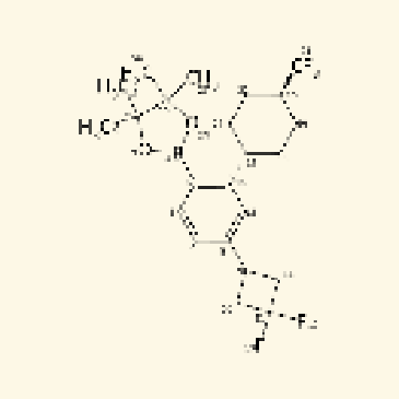 CC1(C)OB(c2ccc(C3CC(F)(F)C3)cc2[C@H]2CC[C@H](C(F)(F)F)CC2)OC1(C)C